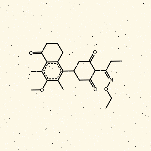 CCO/N=C(/CC)C1C(=O)CC(c2c(C)c(OC)c(C)c3c2CCCC3=O)CC1=O